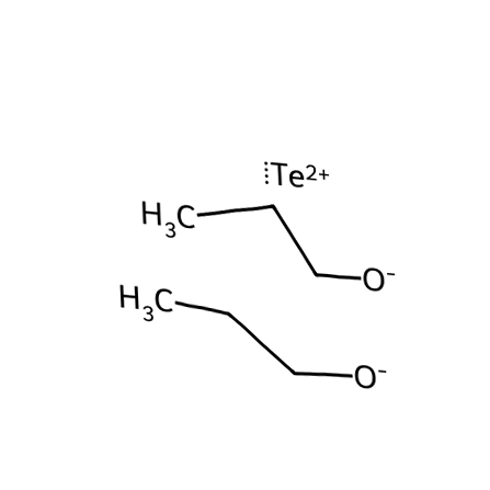 CCC[O-].CCC[O-].[Te+2]